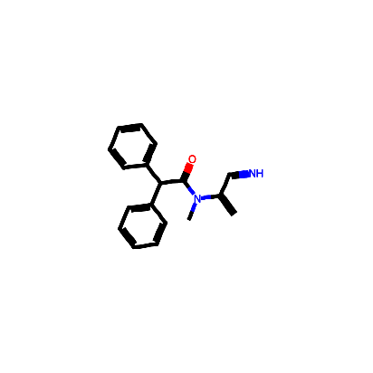 C=C(C=N)N(C)C(=O)C(c1ccccc1)c1ccccc1